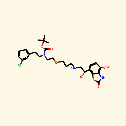 CC(C)(C)OC(=O)N(CCSCCCNC[C@H](O)c1ccc(O)c2[nH]c(=O)sc12)CCc1cccc(Cl)c1